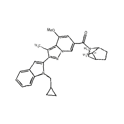 COc1cc(C(=O)N2CC3CCC2[C@@H]3N)cn2nc(-c3cc4ccccc4n3CC3CC3)c(C)c12